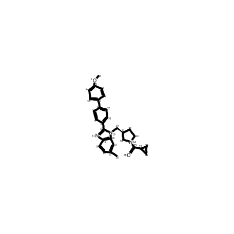 COc1ccc(-c2ccc(-c3nc4ccc(C)cc4n3C[C@H]3CCN(C(=O)C4CC4)C3)cc2)cc1